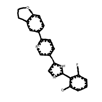 Fc1cccc(Cl)c1-c1ncc(-c2ccc(-c3ccc4c(c3)CCO4)nc2)[nH]1